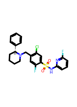 O=S(=O)(Nc1cccc(F)n1)c1cc(Cl)c(CN2CCCC[C@@H]2c2ccccc2)cc1F